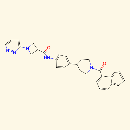 O=C(Nc1ccc(C2CCN(C(=O)c3cccc4ccccc34)CC2)cc1)C1CN(c2cccnn2)C1